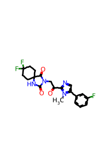 Cn1c(-c2cccc(F)c2)cnc1C(=O)CN1C(=O)NC2(CCC(F)(F)CC2)C1=O